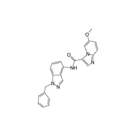 COc1ccc2ncc(C(=O)Nc3cccc4c3cnn4Cc3ccccc3)n2c1